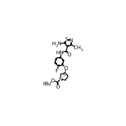 Cc1nsc(N)c1C(=O)Nc1ccc(F)c(O[C@H]2CCN(C(=O)OC(C)(C)C)C2)c1